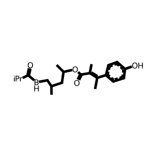 C/C(C(=O)OC(C)CC(C)CBC(=O)C(C)C)=C(/C)c1ccc(O)cc1